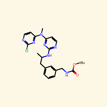 CC(Cc1cccc(CNC(=O)OC(C)(C)C)c1)Nc1nccc(N(C)c2ccnc(Cl)n2)n1